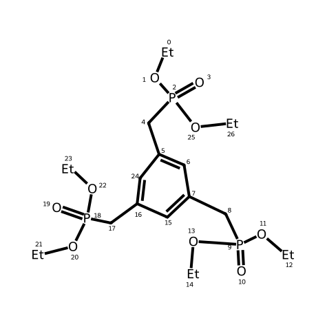 CCOP(=O)(Cc1cc(CP(=O)(OCC)OCC)cc(CP(=O)(OCC)OCC)c1)OCC